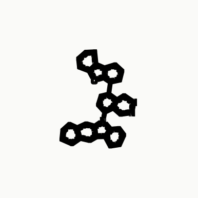 c1ccc2cc3c(cc2c1)c1ccccc1n3-c1ccc(-c2cccc3c2oc2ccccc23)c2cnncc12